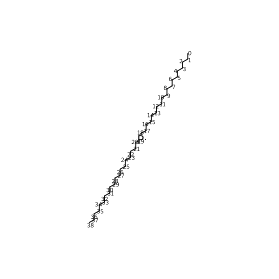 CCCCCCCCCCCCCCCCCCC[P]CCCCCCCCCCCCCCCCCCC